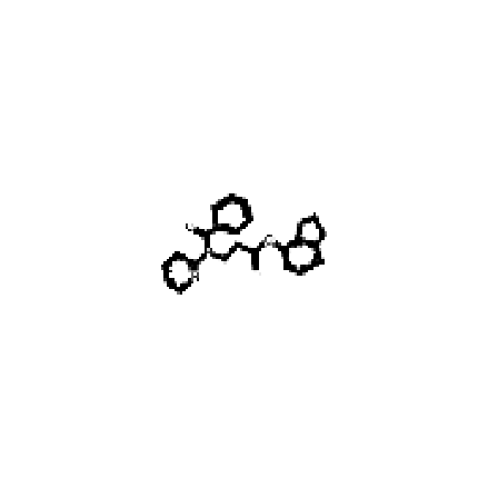 O=C(CCN(C(=O)C1=CC=C=C=C1)c1ccccn1)Oc1cccc2c1CCC2